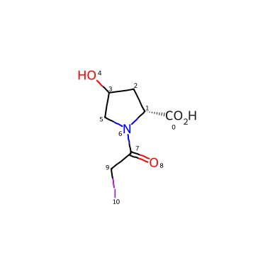 O=C(O)[C@H]1CC(O)CN1C(=O)CI